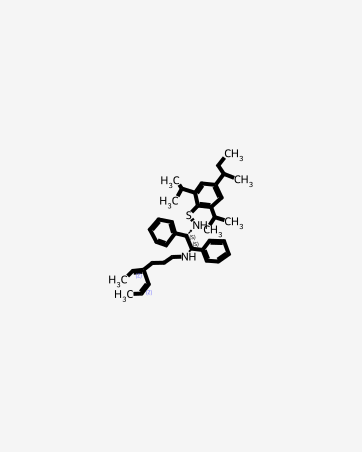 C/C=C\C(=C/C)CCCN[C@@H](c1ccccc1)[C@@H](NSc1c(C(C)C)cc(C(C)CC)cc1C(C)C)c1ccccc1